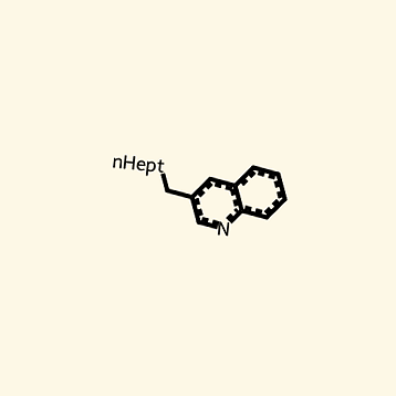 CCCCCCCCc1cnc2ccccc2c1